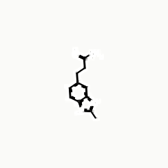 Cc1nc2cc(CCC(N)=O)ccc2s1